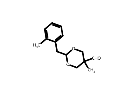 Cc1ccccc1CC1OCC(C)(C=O)CO1